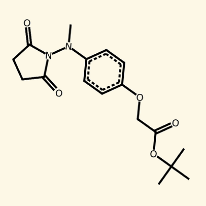 CN(c1ccc(OCC(=O)OC(C)(C)C)cc1)N1C(=O)CCC1=O